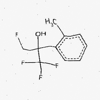 Cc1ccccc1C(O)(CF)C(F)(F)F